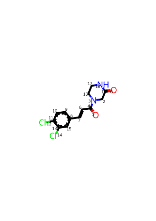 O=C1CN(C(=O)C=Cc2ccc(Cl)c(Cl)c2)CCN1